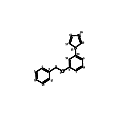 c1ccc(COc2cccc(-n3ccnc3)c2)cc1